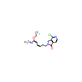 C=N/C(=C\C=C/CCN1Cc2c(ccnc2Cl)C1=O)OCC(F)(F)F